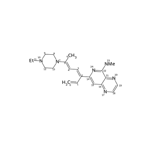 C=C/C(=C\C=C(/C)N1CCN(CC)CC1)c1cc2nccnc2c(NC)n1